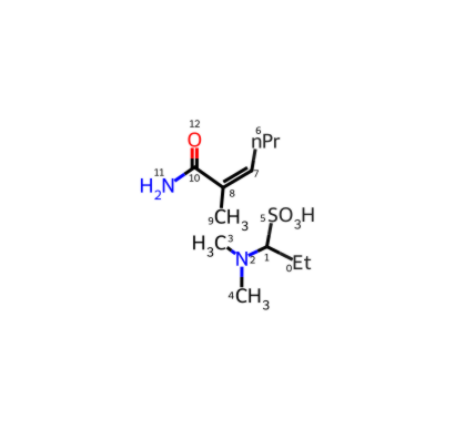 CCC(N(C)C)S(=O)(=O)O.CCCC=C(C)C(N)=O